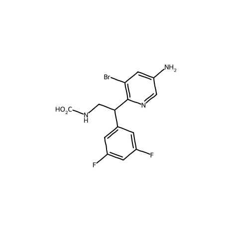 Nc1cnc(C(CNC(=O)O)c2cc(F)cc(F)c2)c(Br)c1